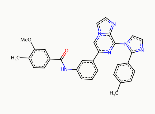 COc1cc(C(=O)Nc2cccc(-c3cn4ccnc4c(-n4ccnc4-c4ccc(C)cc4)n3)c2)ccc1C